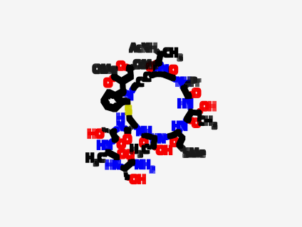 COC(=O)/C=C(\C(=O)OC)c1c2ccccc2c2n1CCCC[C@H](NC(=O)[C@H](C)NC(C)=O)C(=O)N[C@@H](C(C)C)C(=O)N[C@@H]([C@@H](C)O)C(=O)N[C@@H](CCSC)C(=O)N[C@@H]([C@@H](C)O)C(=O)N[C@H](C(=O)N[C@@H](CO)C(=O)N[C@@H](C)C(=O)N[C@@H](CO)C(N)=O)CS2